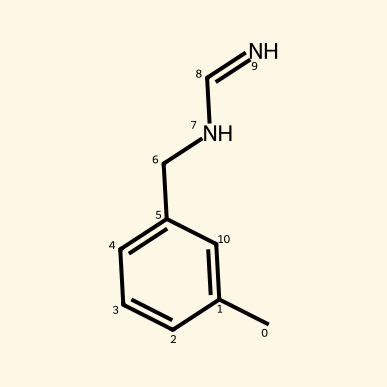 Cc1cccc(CNC=N)c1